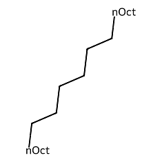 CCCCC[CH]CCCCCCCCCCCCCCCC